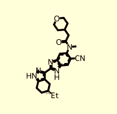 CC[C@H]1CCc2[nH]nc(-c3nc4cc(N(C)C(=O)CC5CCOCC5)c(C#N)cc4[nH]3)c2C1